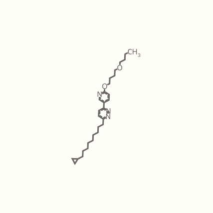 CCCCOCCCCOc1ccc(-c2ccc(CCCCCCCCCC3CC3)nn2)cn1